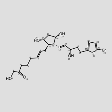 O=C(CO)CCCC=CC[C@@H]1[C@@H](C=C[C@H](O)CCc2ccc(Br)s2)[C@H](O)C[C@@H]1O